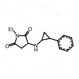 CCN1C(=O)CC(NC2CC2c2ccccc2)C1=O